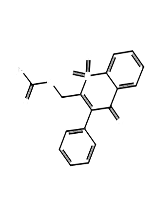 NC(=O)OCC1=C(c2ccccc2)C(=O)c2ccccc2S1(=O)=O